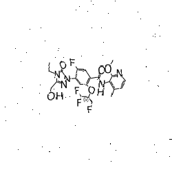 CCn1c(CO)nn(-c2cc(O[C@@H](CF)C(F)F)c(C(=O)Nc3c(C)ccnc3OC)cc2F)c1=O